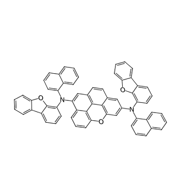 c1ccc2c(N(c3cc4c5c(ccc6cc(N(c7cccc8ccccc78)c7cccc8c7oc7ccccc78)c7cccc(c7c65)O4)c3)c3cccc4c3oc3ccccc34)cccc2c1